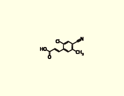 Cc1cc(C=CC(=O)O)c(Cl)cc1C#N